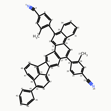 Cc1cc(C#N)ccc1-c1cc2c3cc4c(cc3c(-c3ccc(C#N)cc3C)cc2c2ccccc12)-c1ccc(-c2ccccc2)c2cccc-4c12